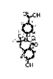 CC1(F)Cc2nc(O)ccc2S(=O)(=O)N1c1ccc(C(=O)O)cc1